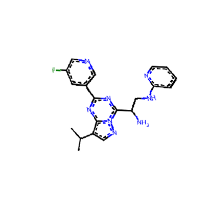 CC(C)c1cnn2c(C(N)CNc3ccccn3)nc(-c3cncc(F)c3)nc12